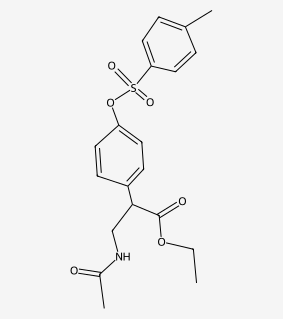 CCOC(=O)C(CNC(C)=O)c1ccc(OS(=O)(=O)c2ccc(C)cc2)cc1